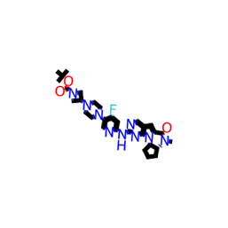 CN(C)C(=O)c1cc2cnc(Nc3cc(F)c(N4CCN(C5CN(C(=O)OC(C)(C)C)C5)CC4)cn3)nc2n1C1CCCC1